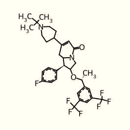 C[C@@H](OC1CN2C(=O)C=C(C3CCN(C(C)(C)C)CC3)CC2[C@@H]1c1ccc(F)cc1)c1cc(C(F)(F)F)cc(C(F)(F)F)c1